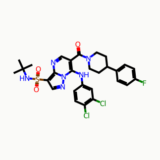 CC(C)(C)NS(=O)(=O)c1cnn2c(Nc3ccc(Cl)c(Cl)c3)c(C(=O)N3CCC(c4ccc(F)cc4)CC3)cnc12